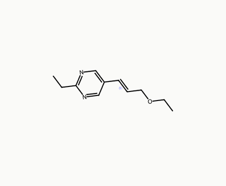 CCOC/C=C/c1cnc(CC)nc1